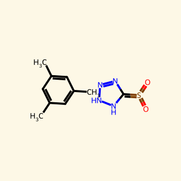 Cc1cc(C)cc(C)c1.O=S(=O)=c1nn[nH][nH]1